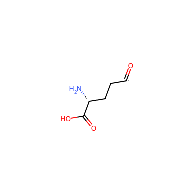 N[C@H](CC[C]=O)C(=O)O